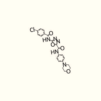 O=C(Nc1nnc(C(=O)Nc2ccc(N3CCOCC3)cc2)o1)c1ccc(Cl)cc1